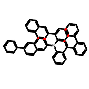 c1ccc(-c2ccc3cc(N(c4ccccc4-c4ccc5ccccc5c4)c4ccccc4-c4cc5ccccc5c5ccccc45)ccc3c2)cc1